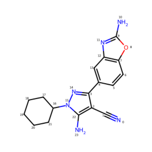 N#Cc1c(-c2ccc3oc(N)nc3c2)nn(C2CCCCC2)c1N